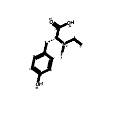 CCN(F)[C@H](Cc1ccc(O)cc1)C(=O)O